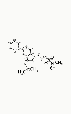 CC(C)Cn1cc(CCNS(=O)(=O)N(C)C)c2ccc(C3=CCCCC3)cc21